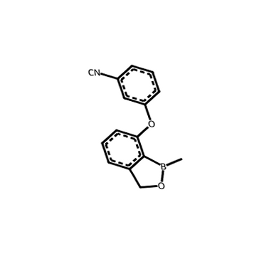 [C-]#[N+]c1cccc(Oc2cccc3c2B(C)OC3)c1